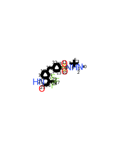 CN(C)CC(C)(C)CNS(=O)(=O)c1ccc(Cc2ccc3[nH]c(=O)cc(C(F)(F)F)c3c2)cc1